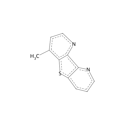 Cc1ccnc2c1sc1cccnc12